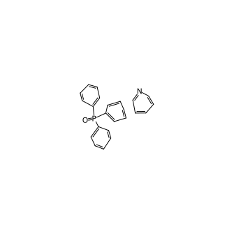 O=P(c1ccccc1)(c1ccccc1)c1ccccc1.c1ccncc1